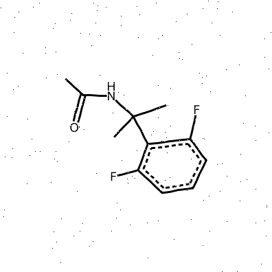 CC(=O)NC(C)(C)c1c(F)cccc1F